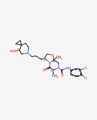 C[C@H]1C(=O)N2[C@@H](CCCN3CCC4(CC4)[C@H](O)C3)CO[C@]2(C)CN1C(=O)Nc1ccc(Cl)c(Cl)c1